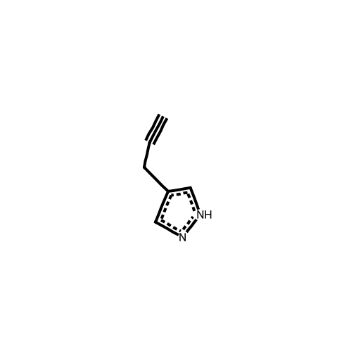 C#CCc1cn[nH]c1